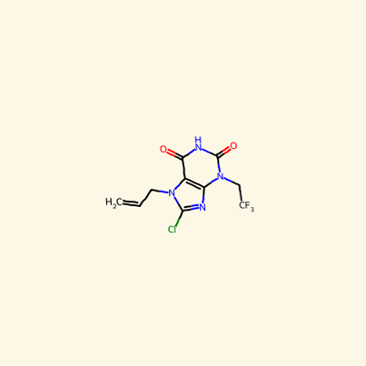 C=CCn1c(Cl)nc2c1c(=O)[nH]c(=O)n2CC(F)(F)F